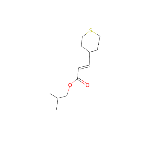 CC(C)COC(=O)C=CC1CCSCC1